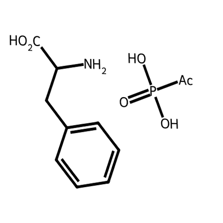 CC(=O)P(=O)(O)O.NC(Cc1ccccc1)C(=O)O